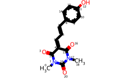 CN1C(=O)C(=CC=Cc2ccc(O)cc2)C(=O)N(C)C1=O